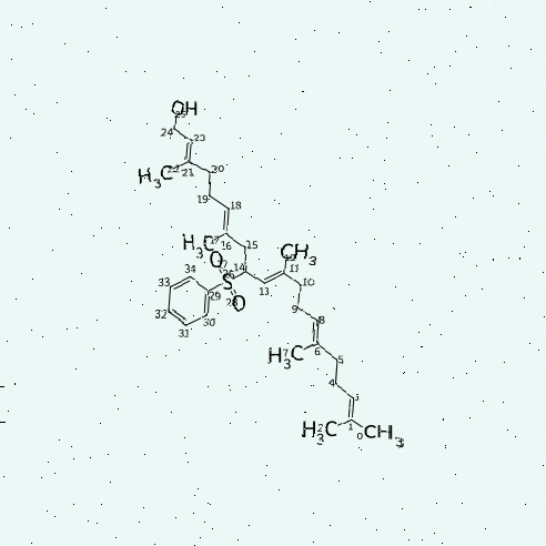 CC(C)=CCC/C(C)=C/CC/C(C)=C/C(C/C(C)=C/CC/C(C)=C/CO)S(=O)(=O)c1ccccc1